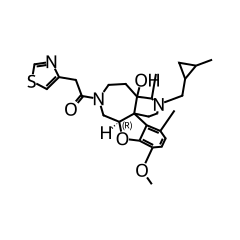 COc1ccc(C)c2c1O[C@H]1CN(C(=O)Cc3cscn3)CCC3(O)C(C)N(CC4CC4C)CCC213